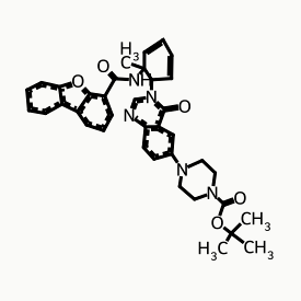 CC(C)(C)OC(=O)N1CCN(c2ccc3ncn(C4C=CC=CC4(C)NC(=O)c4cccc5c4oc4ccccc45)c(=O)c3c2)CC1